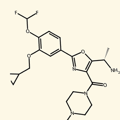 CC(=O)N1CCN(C(=O)c2nc(-c3ccc(OC(F)F)c(OCC4CC4)c3)oc2[C@H](C)N)CC1